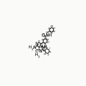 CC(=Nn1nnc2ccccc21)c1nc(-c2cccc(C(=O)NCc3ccccc3)c2)cnc1N